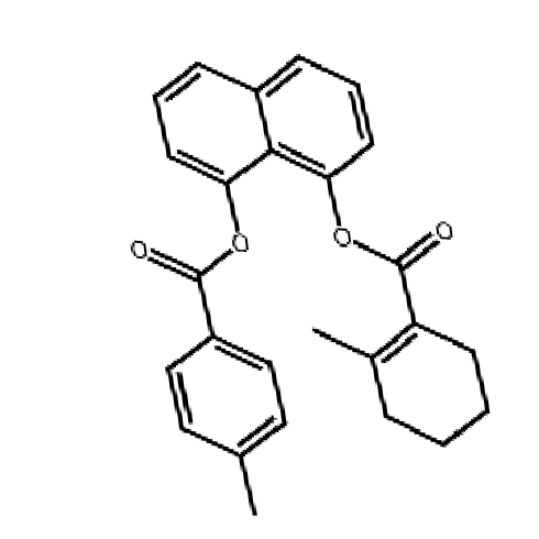 CC1=C(C(=O)Oc2cccc3cccc(OC(=O)c4ccc(C)cc4)c23)CCCC1